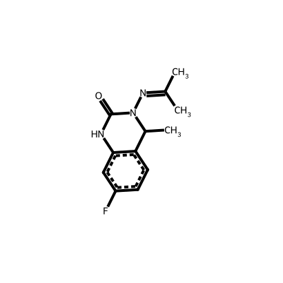 CC(C)=NN1C(=O)Nc2cc(F)ccc2C1C